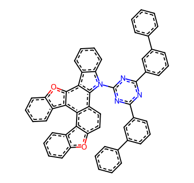 c1ccc(-c2cccc(-c3nc(-c4cccc(-c5ccccc5)c4)nc(-n4c5ccccc5c5c6oc7ccccc7c6c6c(ccc7oc8ccccc8c76)c54)n3)c2)cc1